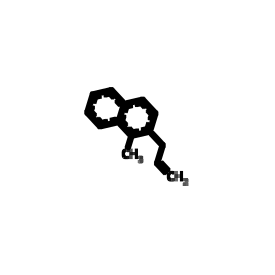 C=CCc1ccc2ccccc2c1C